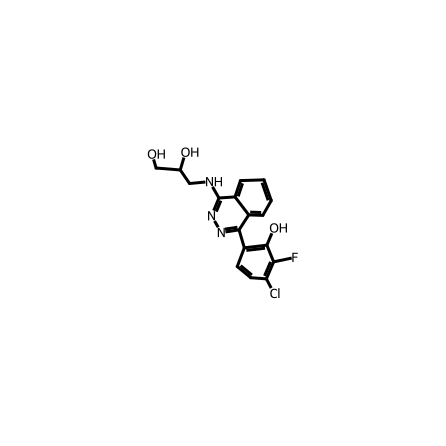 OCC(O)CNc1nnc(-c2ccc(Cl)c(F)c2O)c2ccccc12